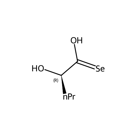 CCC[C@@H](O)C(O)=[Se]